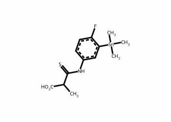 CC(C(=O)O)C(=S)Nc1ccc(F)[c]([Sn]([CH3])([CH3])[CH3])c1